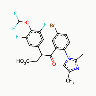 Cc1nc(C(F)(F)F)cn1-c1ccc(Br)cc1C(=O)C(CC(=O)O)c1cc(F)c(OC(F)F)c(F)c1